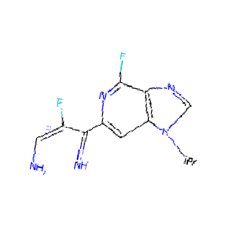 CC(C)n1cnc2c(F)nc(C(=N)/C(F)=C\N)cc21